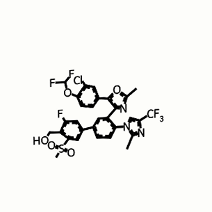 Cc1nc(-c2cc(-c3cc(F)c(CO)c(S(C)(=O)=O)c3)ccc2-n2cc(C(F)(F)F)nc2C)c(-c2ccc(OC(F)F)c(Cl)c2)o1